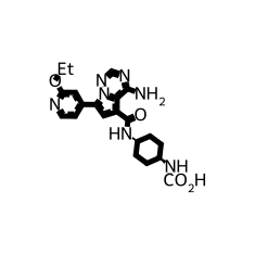 CCOc1cc(-c2cc(C(=O)N[C@H]3CC[C@H](NC(=O)O)CC3)c3c(N)ncnn23)ccn1